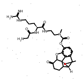 CN(CCNC(=O)[C@H](CCCNC(=N)N)NC(=O)CN)C(=O)Oc1ccc2c3c1OC1C(=O)CCC4[C@@H](C2)N(C)C[C@]314